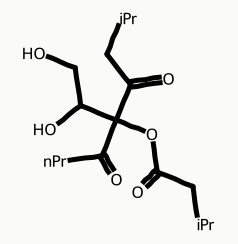 CCCC(=O)C(OC(=O)CC(C)C)(C(=O)CC(C)C)C(O)CO